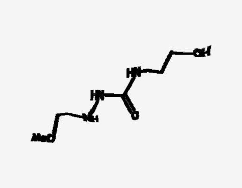 COCNNC(=O)NCCO